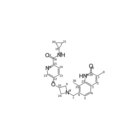 Cc1cc2ccc(CN3CC(Oc4ccc(C(=O)NC5CC5)nc4)C3)c(C)c2[nH]c1=O